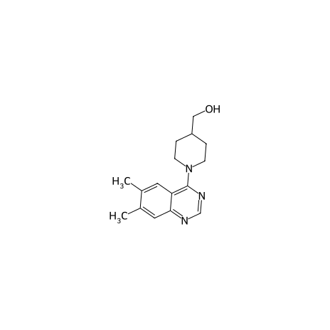 Cc1cc2ncnc(N3CCC(CO)CC3)c2cc1C